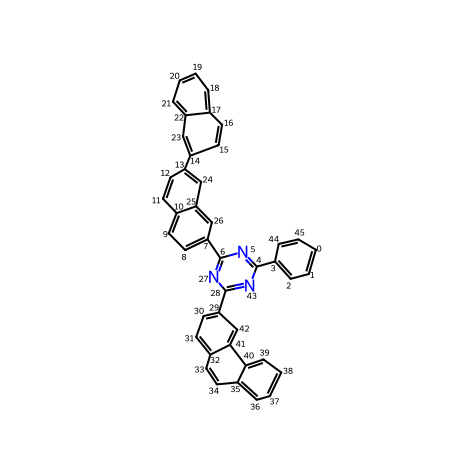 c1ccc(-c2nc(-c3ccc4ccc(-c5ccc6ccccc6c5)cc4c3)nc(-c3ccc4ccc5ccccc5c4c3)n2)cc1